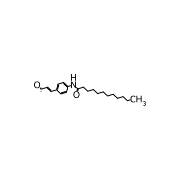 CCCCCCCCCCCC(=O)Nc1ccc(/C=C/[C]=O)cc1